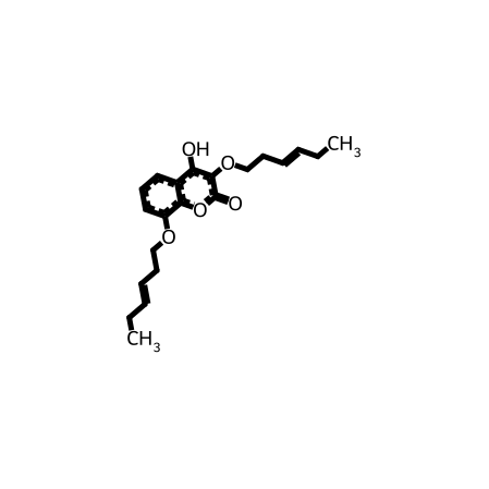 CCC=CCCOc1c(O)c2cccc(OCCC=CCC)c2oc1=O